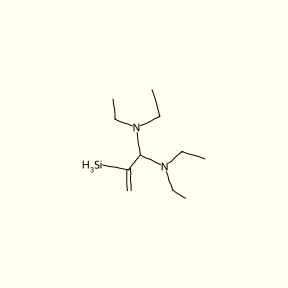 C=C([SiH3])C(N(CC)CC)N(CC)CC